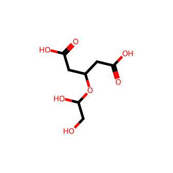 O=C(O)CC(CC(=O)O)OC(O)CO